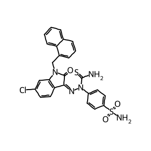 NC(=S)N(/N=C1\C(=O)N(Cc2cccc3ccccc23)c2cc(Cl)ccc21)c1ccc(S(N)(=O)=O)cc1